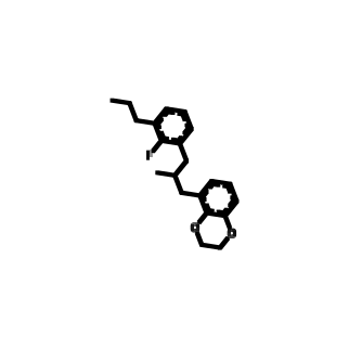 CCCc1cccc(CC(C)Cc2cccc3c2OCCO3)c1F